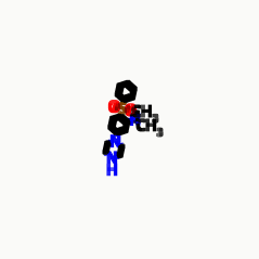 CN(C)c1cc(N2CCNCC2)ccc1S(=O)(=O)c1ccccc1